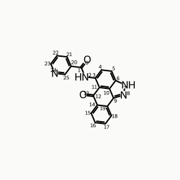 O=C(Nc1ccc2[nH]nc3c2c1C(=O)c1ccccc1-3)c1cccnc1